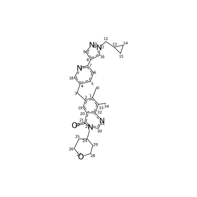 Cc1c(Cc2ccc(-c3cnn(CC4CC4)c3)nc2)cc2c(=O)n(C3CCOCC3)cnc2c1C